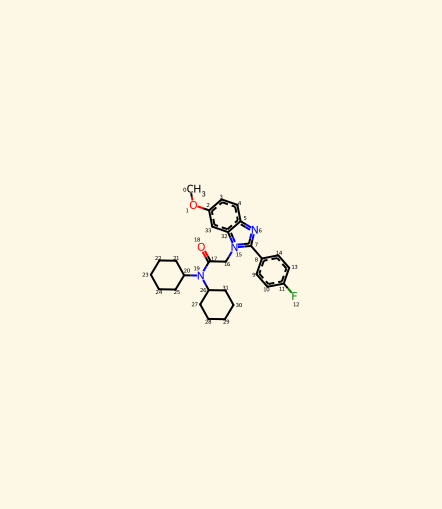 COc1ccc2nc(-c3ccc(F)cc3)n(CC(=O)N(C3CCCCC3)C3CCCCC3)c2c1